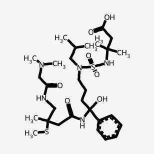 CSC(C)(CNC(=O)CN(C)C)CC(=O)NC(O)(CCCN(CC(C)C)S(=O)(=O)NC(C)(C)CC(=O)O)c1ccccc1